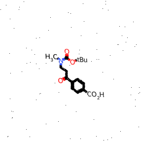 CN(CCC(=O)c1ccc(C(=O)O)cc1)C(=O)OC(C)(C)C